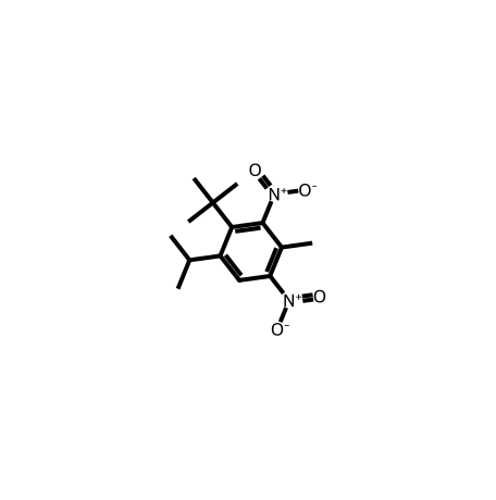 Cc1c([N+](=O)[O-])cc(C(C)C)c(C(C)(C)C)c1[N+](=O)[O-]